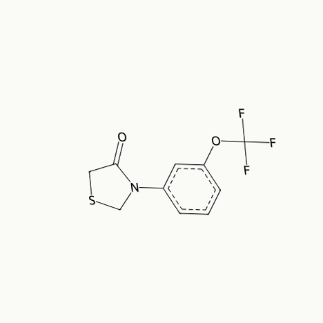 O=C1CSCN1c1cccc(OC(F)(F)F)c1